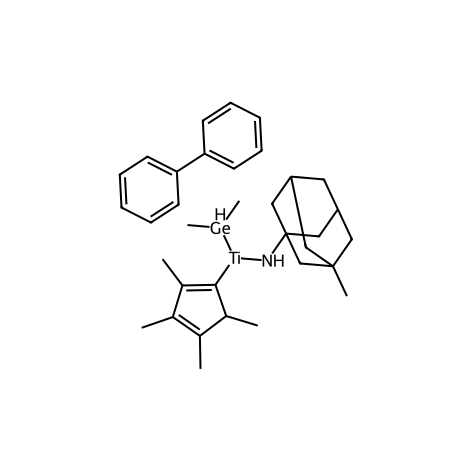 CC1=C(C)C(C)[C]([Ti]([NH]C23CC4CC(CC(C)(C4)C2)C3)[GeH]([CH3])[CH3])=C1C.c1ccc(-c2ccccc2)cc1